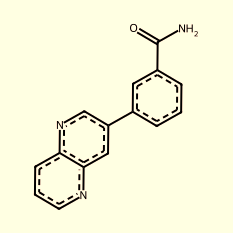 NC(=O)c1cccc(-c2cnc3cccnc3c2)c1